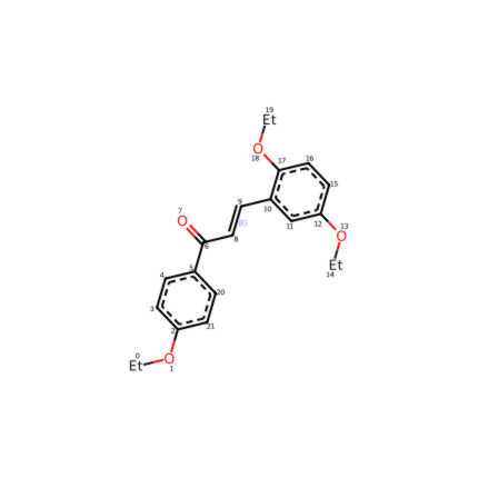 CCOc1ccc(C(=O)/C=C/c2cc(OCC)ccc2OCC)cc1